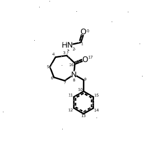 O=CN[C@H]1CCCCN(Cc2ccccc2)C1=O